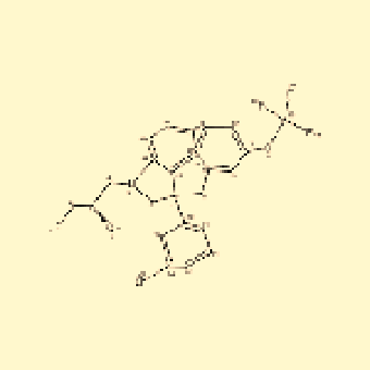 O[C@@H](CF)CN1CC(Cc2cccc(OC(F)(F)F)c2)(c2cccc(Cl)c2)c2ccccc21